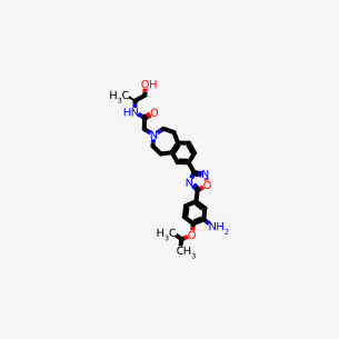 CC(C)Oc1ccc(-c2nc(-c3ccc4c(c3)CCN(CC(=O)N[C@@H](C)CO)CC4)no2)cc1N